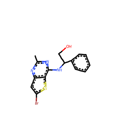 Cc1nc(NC(CO)c2ccccc2)c2sc(Br)cc2n1